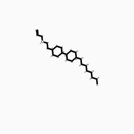 C=CCOCCC1CCC(C2CCC(CCCCCCCC)CC2)CC1